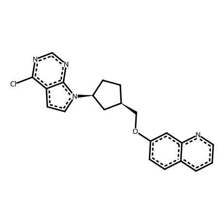 Clc1ncnc2c1ccn2[C@H]1CC[C@@H](COc2ccc3cccnc3c2)C1